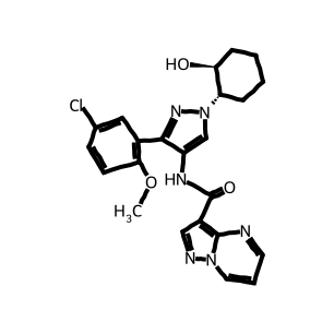 COc1ccc(Cl)cc1-c1nn([C@H]2CCCC[C@@H]2O)cc1NC(=O)c1cnn2cccnc12